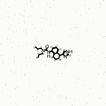 CCCN(CCC)C(=O)Nc1cccc2c1CCCC2c1c[nH]cn1